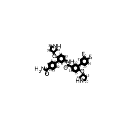 NC(=O)c1ccc(-c2cc(NC(=O)c3ccc(OC4CCNC4)c(-c4ccc(F)c(F)c4)c3)ccc2OC2CCNC2)cc1